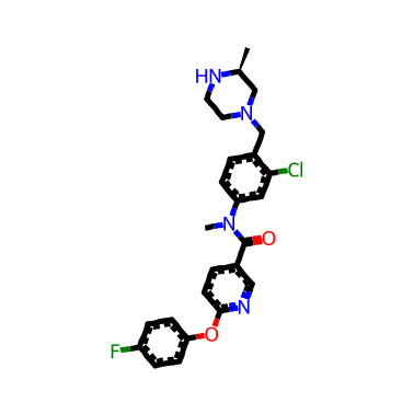 C[C@H]1CN(Cc2ccc(N(C)C(=O)c3ccc(Oc4ccc(F)cc4)nc3)cc2Cl)CCN1